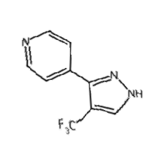 FC(F)(F)c1c[nH]nc1-c1ccncc1